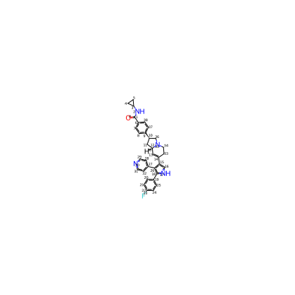 O=C(NC1CC1)c1ccc([C@@H]2C[C@H]3C=C(c4c[nH]c(-c5ccc(F)cc5)c4-c4ccncc4)CCN3C2)cc1